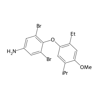 CCc1cc(OC)c(C(C)C)cc1Oc1c(Br)cc(N)cc1Br